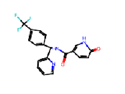 O=C(NC(c1ccc(C(F)(F)F)cc1)c1ccccn1)c1ccc(=O)[nH]c1